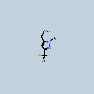 COCc1cc(C(C)(F)F)nn1C(C)C